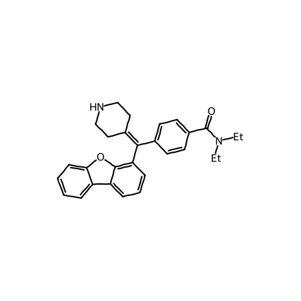 CCN(CC)C(=O)c1ccc(C(=C2CCNCC2)c2cccc3c2oc2ccccc23)cc1